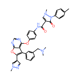 Cc1ccc(-n2c(=O)c(C(=O)Nc3ccc(Oc4ncnc5oc(-c6cnn(C)c6)c(-c6cccc(CN(C)C)c6)c45)cc3)cn2C)cc1